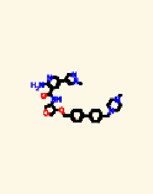 CN1CCN(Cc2ccc(-c3ccc(COC4COCC4NC(=O)c4cc(-c5cnn(C)c5)cnc4N)cc3)cc2)CC1